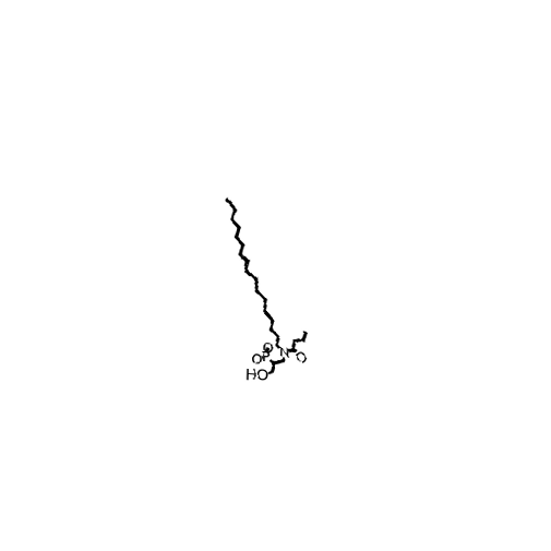 CCCCCCCCCCCCCCCCCN(CC(CO)P(=O)=O)C(=O)CCC